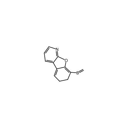 C=BC1=c2oc3ncccc3c2=CCC1